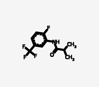 CC(C)C(=O)Nc1cc(C(F)(F)F)ccc1F